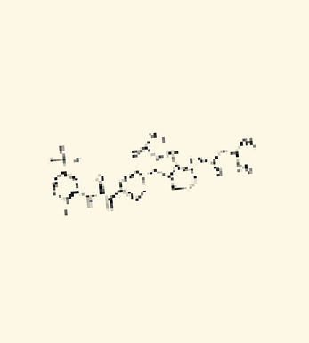 CN(C)CC(=O)Nc1cccc2c1NC(C(N)=O)C2c1ccc(NC(=O)Nc2cc(C(F)(F)F)ccc2F)cc1